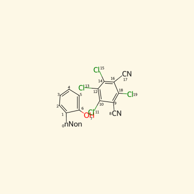 CCCCCCCCCc1ccccc1O.N#Cc1c(Cl)c(Cl)c(Cl)c(C#N)c1Cl